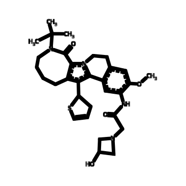 COc1cc2c(cc1NC(=O)CN1CC(O)C1)-c1c(C3CC=CS3)c3c(n1CC2)C(=O)N(C(C)(C)C)CCCC3